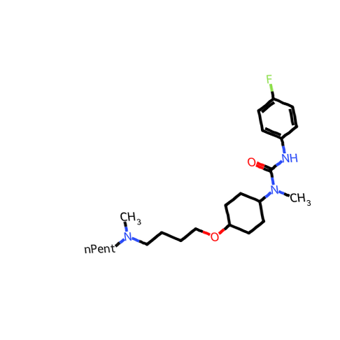 CCCCCN(C)CCCCOC1CCC(N(C)C(=O)Nc2ccc(F)cc2)CC1